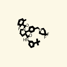 Cc1cccc(F)c1C(=O)N1CCCC(C(=O)Nc2cccc(C(C)(C)C)c2)C1c1ccc(CN2CCC(F)(F)CC2)cc1